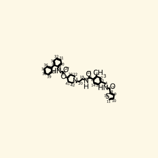 Cc1cc(CNC(=O)c2cccs2)ccc1C(=O)NCCN1CCC(OC(=O)Nc2ccccc2-c2ccccc2)CC1